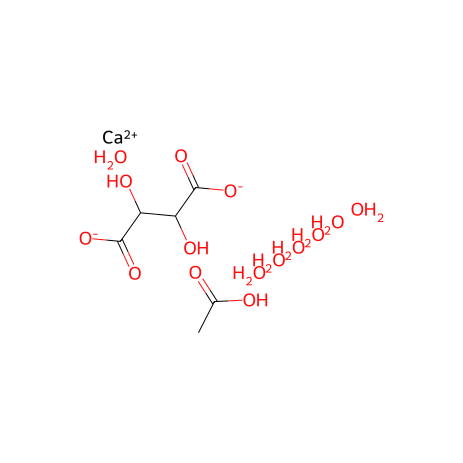 CC(=O)O.O.O.O.O.O.O.O.O=C([O-])C(O)C(O)C(=O)[O-].[Ca+2]